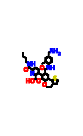 CCCCNC(=O)c1ccc(-c2cc3c(cc2C(=O)Nc2ccc(CN)cc2C)-c2sccc2CCO3)c(C(=O)O)n1